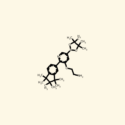 CC1(C)OB(c2cnc(-c3ccc4c(c3)C(C)(C)C(C)(C)C4(C)C)c(OCCN)c2)OC1(C)C